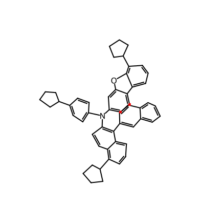 c1ccc2cc(-c3c(N(c4ccc(C5CCCC5)cc4)c4ccc5c(c4)oc4c(C6CCCC6)cccc45)ccc4c(C5CCCC5)cccc34)ccc2c1